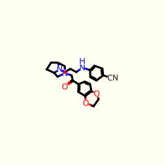 N#Cc1ccc(NCCCN2C3CCC2CN(CC(=O)c2ccc4c(c2)OCCO4)C3)cc1